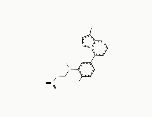 CN(CO[SH](=O)=O)c1cc(-c2ccnc3c([N+](=O)[O-])cnn23)ccc1F